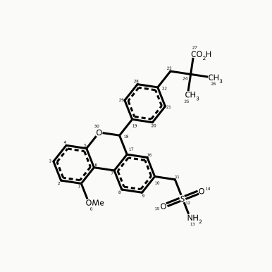 COc1cccc2c1-c1ccc(CS(N)(=O)=O)cc1C(c1ccc(CC(C)(C)C(=O)O)cc1)O2